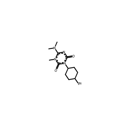 CC(C)C1CCC(n2c(=O)nc(N(C)C)n(C)c2=O)CC1